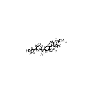 CN1C[C@@H]2C[C@H]1CN2c1ccc(Nc2nccc(-c3cc[nH]c3)n2)cc1C(F)(F)F